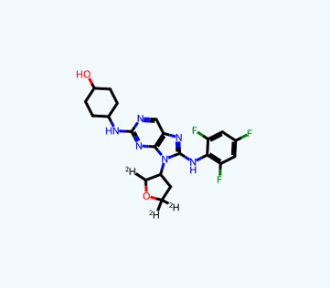 [2H]C1OC([2H])([2H])CC1n1c(Nc2c(F)cc(F)cc2F)nc2cnc(NC3CCC(O)CC3)nc21